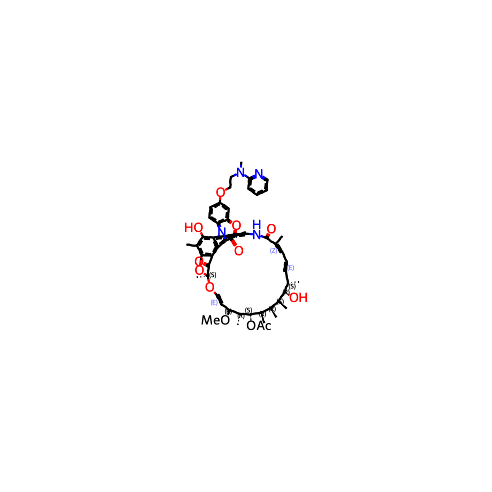 CO[C@H]1/C=C/O[C@@]2(C)Oc3c(C)c(O)c4c(=O)c(c5oc6cc(OCCN(C)c7ccccn7)ccc6nc-5c4c3C2=O)NC(=O)/C(C)=C\C=C\[C@H](C)[C@H](O)[C@@H](C)[C@@H](C)[C@@H](C)[C@H](OC(C)=O)[C@@H]1C